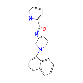 c1ccc(-c2nc3c(o2)CCN(c2cccc4ccccc24)C3)nc1